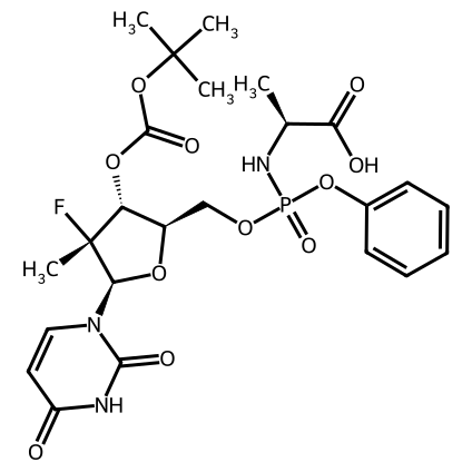 C[C@H](NP(=O)(OC[C@H]1O[C@@H](n2ccc(=O)[nH]c2=O)[C@](C)(F)[C@@H]1OC(=O)OC(C)(C)C)Oc1ccccc1)C(=O)O